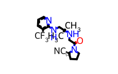 CC(C)(CNc1ncccc1C(F)(F)F)NCC(=O)N1CCC[C@H]1C#N